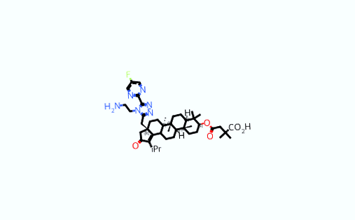 CC(C)C1=C2C3CC[C@@H]4[C@@]5(C)CC[C@H](OC(=O)CC(C)(C)C(=O)O)C(C)(C)[C@@H]5CC[C@@]4(C)[C@]3(C)CC[C@@]2(Cc2nnc(-c3ncc(F)cn3)n2CCN)CC1=O